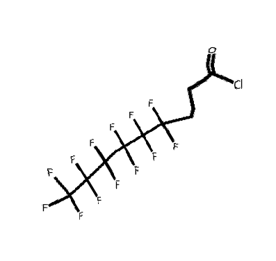 O=C(Cl)CCC(F)(F)C(F)(F)C(F)(F)C(F)(F)C(F)(F)C(F)(F)F